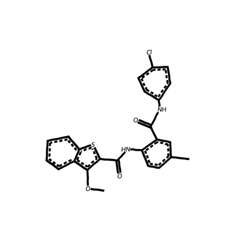 COc1c(C(=O)Nc2ccc(C)cc2C(=O)Nc2ccc(Cl)cc2)sc2ccccc12